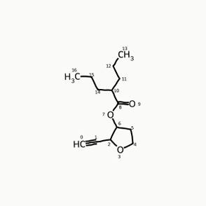 C#CC1OCCC1OC(=O)C(CCC)CCC